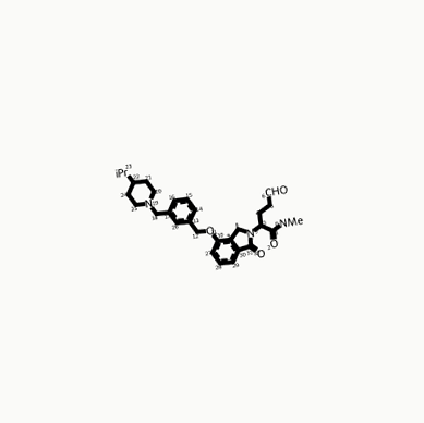 CNC(=O)C(CCC=O)N1Cc2c(OCc3cccc(CN4CCC(C(C)C)CC4)c3)cccc2C1=O